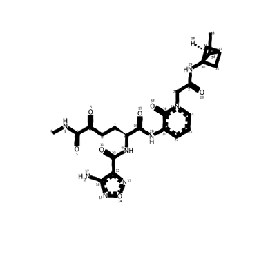 CNC(=O)C(=O)CC[C@H](NC(=O)c1nonc1N)C(=O)Nc1cccn(CC(=O)NC23CC(C2)[C@@H]3C)c1=O